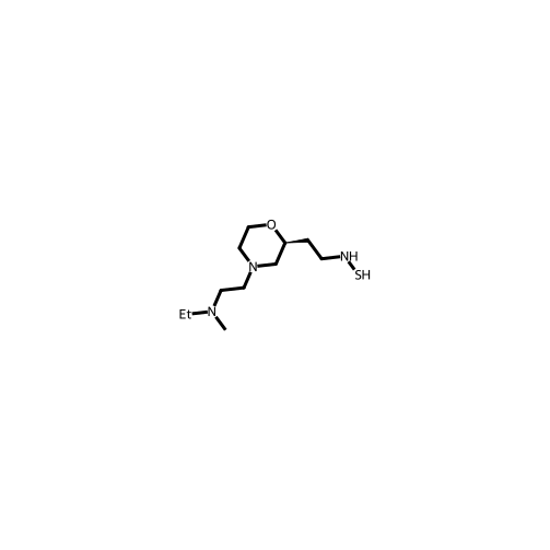 CCN(C)CCN1CCO[C@@H](CCNS)C1